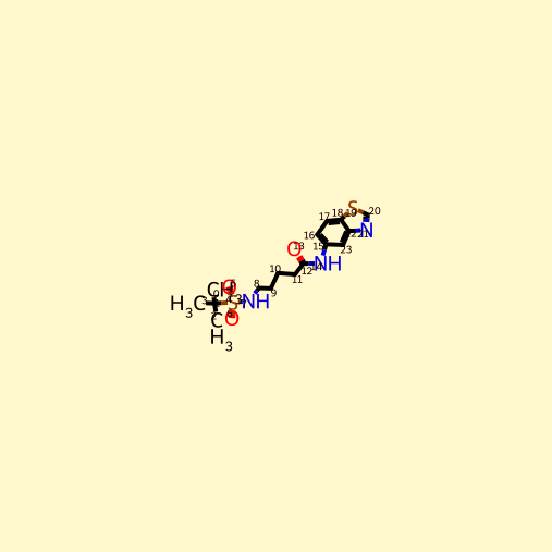 CC(C)(C)S(=O)(=O)NCCCCC(=O)Nc1ccc2scnc2c1